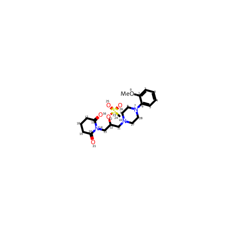 COc1ccccc1N1CCN(CC(CN2C(=O)CCCC2=O)OS(C)(=O)=O)CC1